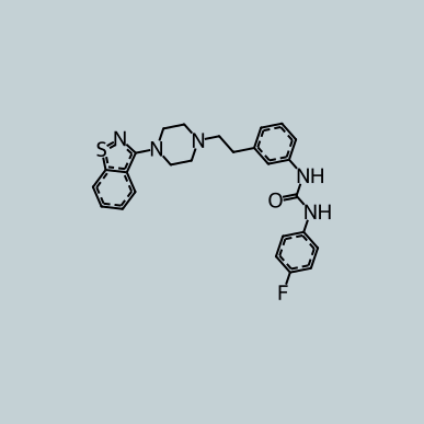 O=C(Nc1ccc(F)cc1)Nc1cccc(CCN2CCN(c3nsc4ccccc34)CC2)c1